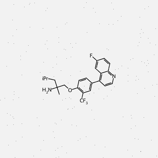 CC(C)CC(C)(N)COc1ccc(-c2ccnc3ccc(F)cc23)cc1C(F)(F)F